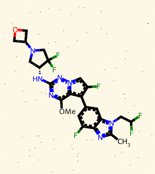 COc1nc(N[C@@H]2CN(C3COC3)CC2(F)F)nn2cc(F)c(-c3cc(F)c4nc(C)n(CC(F)F)c4c3)c12